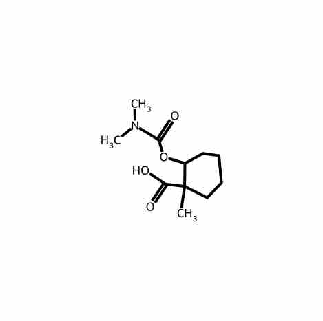 CN(C)C(=O)OC1CCCCC1(C)C(=O)O